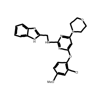 COc1ccc(Oc2cc(N3CCOCC3)nc(NCc3nc4ccccc4[nH]3)n2)c(Cl)c1